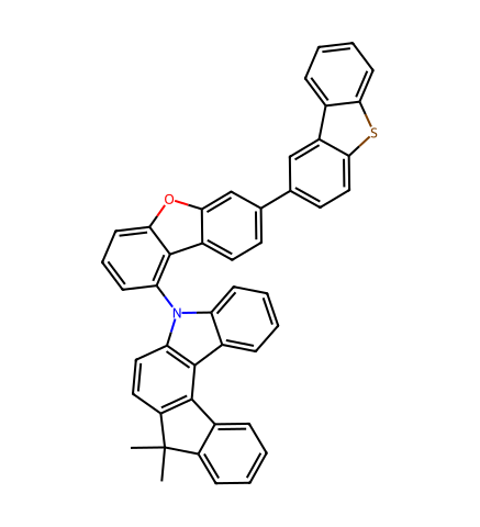 CC1(C)c2ccccc2-c2c1ccc1c2c2ccccc2n1-c1cccc2oc3cc(-c4ccc5sc6ccccc6c5c4)ccc3c12